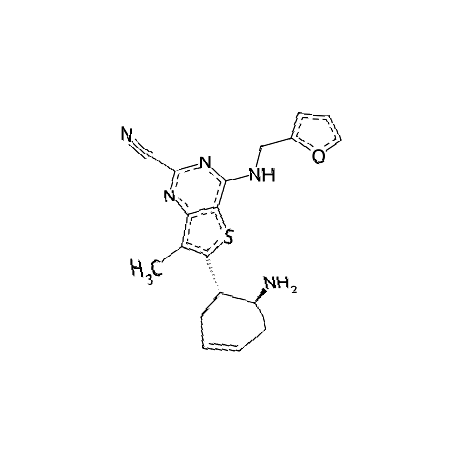 Cc1c([C@H]2CC=CC[C@@H]2N)sc2c(NCc3ccco3)nc(C#N)nc12